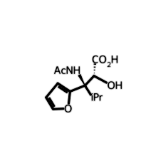 CC(=O)N[C@](c1ccco1)(C(C)C)[C@@H](O)C(=O)O